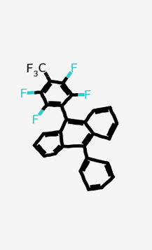 Fc1c(F)c(C(F)(F)F)c(F)c(F)c1-c1c2ccccc2c(-c2ccccc2)c2ccccc12